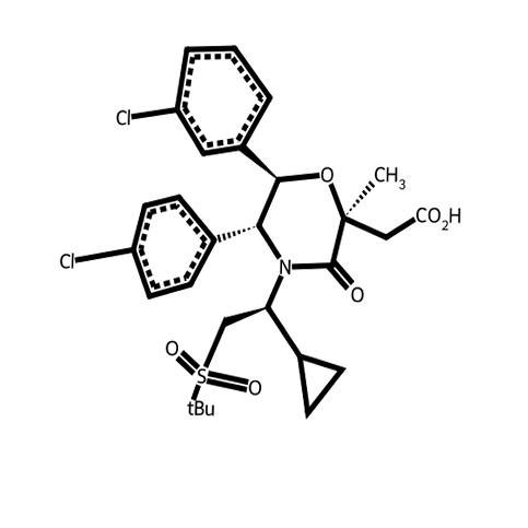 CC(C)(C)S(=O)(=O)C[C@H](C1CC1)N1C(=O)[C@](C)(CC(=O)O)O[C@H](c2cccc(Cl)c2)[C@H]1c1ccc(Cl)cc1